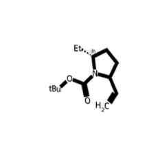 C=CC1CC[C@@H](CC)N1C(=O)OC(C)(C)C